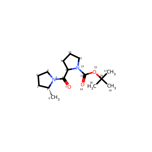 C[C@@H]1CCCN1C(=O)C1CCCN1C(=O)OC(C)(C)C